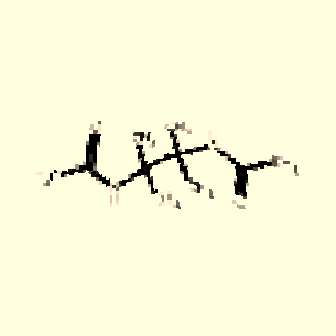 CC(=O)NC(C)(C)C(C)(C)NC(C)=O